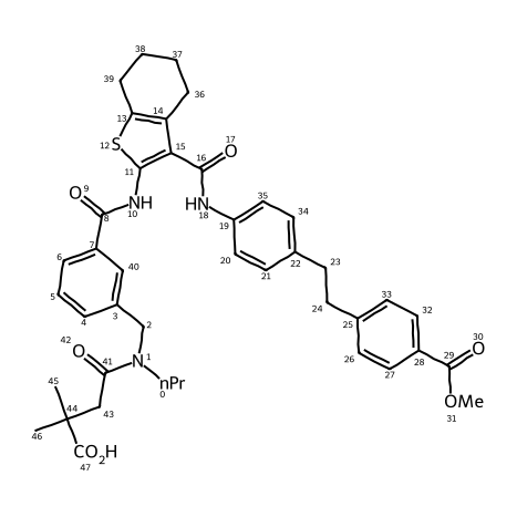 CCCN(Cc1cccc(C(=O)Nc2sc3c(c2C(=O)Nc2ccc(CCc4ccc(C(=O)OC)cc4)cc2)CCCC3)c1)C(=O)CC(C)(C)C(=O)O